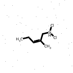 CCC=C(C)C[SiH](Cl)Cl